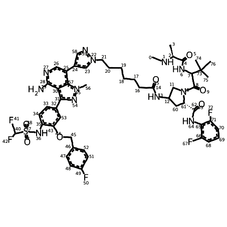 CN[C@@H](C)C(=O)NC(C(=O)N1CC(NC(=O)CCCCCCn2cc(-c3cnc(N)c4c(-c5ccc(NS(=O)(=O)C(F)F)c(OCc6ccc(F)cc6)c5)nn(C)c34)cn2)C[C@H]1C(=O)Nc1c(F)cccc1F)C(C)(C)C